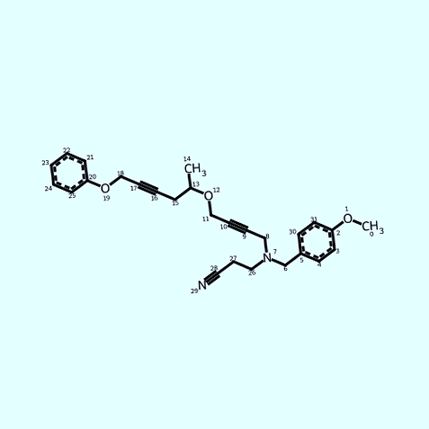 COc1ccc(CN(CC#CCOC(C)CC#CCOc2ccccc2)CCC#N)cc1